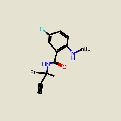 C#CC(C)(CC)NC(=O)c1cc(F)ccc1NCCCC